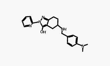 CN(C)c1ccc(CNC2CCc3nn(-c4ccccn4)c(O)c3C2)cc1